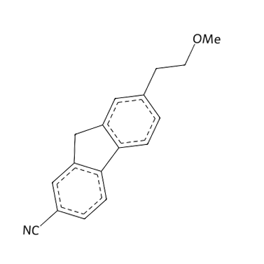 COCCc1ccc2c(c1)Cc1cc(C#N)ccc1-2